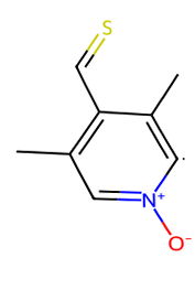 Cc1[c][n+]([O-])cc(C)c1C=S